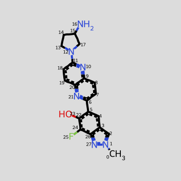 Cn1cc2cc(-c3ccc4nc(N5CCC(N)C5)ccc4n3)c(O)c(F)c2n1